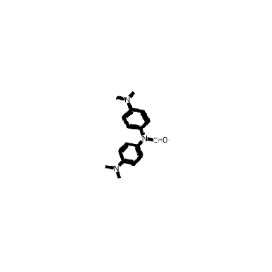 CN(C)c1ccc(N([C]=O)c2ccc(N(C)C)cc2)cc1